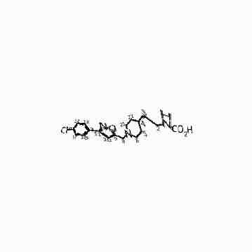 O=C(O)NCCC1CCN(Cc2cc(-c3ccc(Cl)cc3)no2)CC1